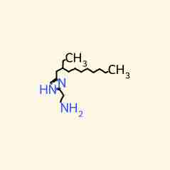 CCCCCCCCC(CC)Cc1c[nH]c(CCN)n1